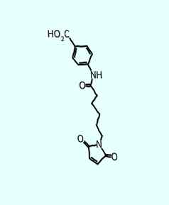 O=C(CCCCCN1C(=O)C=CC1=O)Nc1ccc(C(=O)O)cc1